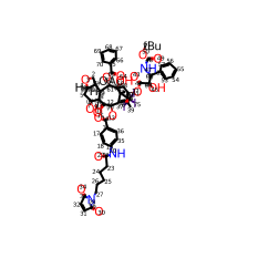 CC(=O)O[C@@]12CO[C@@H]1C[C@H](O)[C@@]1(C)C(=O)[C@H](OC(=O)c3ccc(NC(=O)CCCCCN4C(=O)C=CC4=O)cc3)C3=C(C)[C@@H](OC(=O)[C@H](O)[C@@H](NC(=O)OC(C)(C)C)c4ccccc4)C[C@](O)([C@@H](OC(=O)c4ccccc4)[C@H]21)C3(C)C(I)(I)I